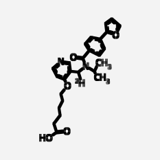 [2H]C(c1cnccc1OCCCCCC(=O)O)N(C(=O)c1ccc(-c2ccco2)cc1)C(C)C